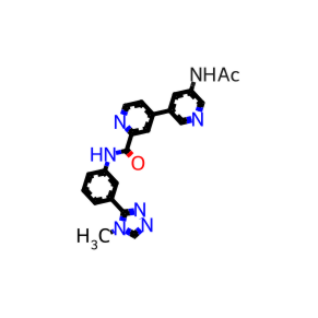 CC(=O)Nc1cncc(-c2ccnc(C(=O)Nc3cccc(-c4nncn4C)c3)c2)c1